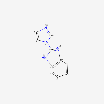 [c]1cccc2[nH]c(-n3ccnc3)nc12